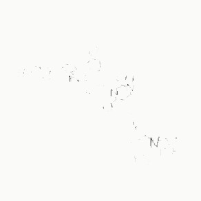 COC(=O)c1csc2c(-c3cc(Cl)ccc3OCCn3c(C)nc4c(c3=O)CC(N3CCC5(CN(CC(F)(F)F)CC(F)(F)C5)C3)CC4)cc(C)nc12